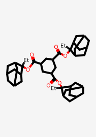 CCC1(OC(=O)C2CC(C(=O)OC3(CC)C4CC5CC(C4)CC3C5)CC(C(=O)OC3(CC)C4CC5CC(C4)CC3C5)C2)C2CC3CC(C2)CC1C3